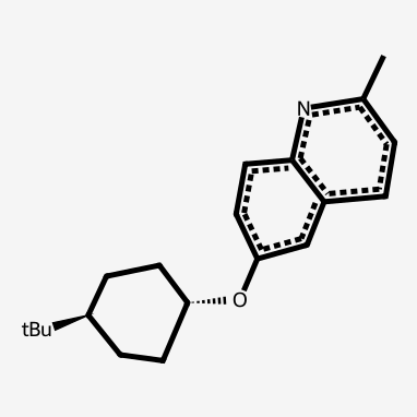 Cc1ccc2cc(O[C@H]3CC[C@H](C(C)(C)C)CC3)ccc2n1